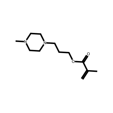 C=C(C)C(=O)OCCCN1CCN(C)CC1